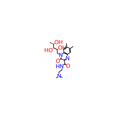 Cc1cc2nc(C(=O)NCCN(C)C)c(=O)n(C[C@H](O)[C@H](O)[C@@H](C)O)c2cc1C